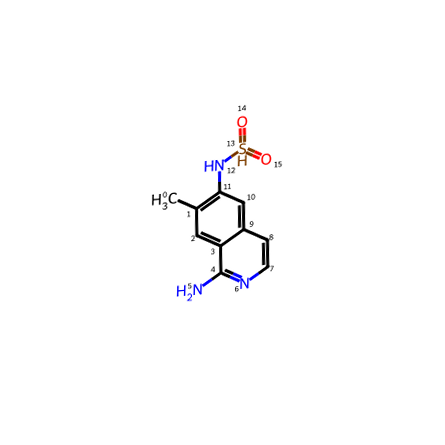 Cc1cc2c(N)nccc2cc1N[SH](=O)=O